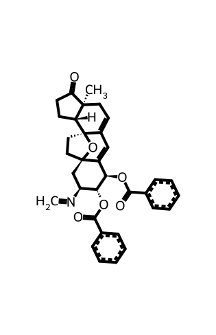 C=N[C@H]1C[C@@]23CC[C@@]4(O2)C(=CC[C@]2(C)C(=O)CC[C@H]24)C=C3[C@@H](OC(=O)c2ccccc2)[C@@H]1OC(=O)c1ccccc1